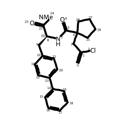 C=C(Cl)CC1(C(=O)N[C@@H](Cc2ccc(-c3ccccc3)cc2)C(=O)NC)CCCC1